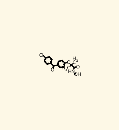 CC(C)(Oc1ccc(C(=O)c2ccc(Cl)cc2)cc1)C(=O)NO